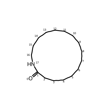 O=C1CCCCCCCCCCCCCCCN1